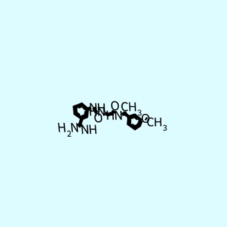 COc1cccc(C(C)NC(=O)CNC(=O)Nc2cccc(C(=N)N)c2)c1